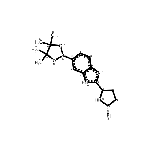 CC[C@H]1CCC(c2nc3ccc(B4OC(C)(C)C(C)(C)O4)cc3[nH]2)N1